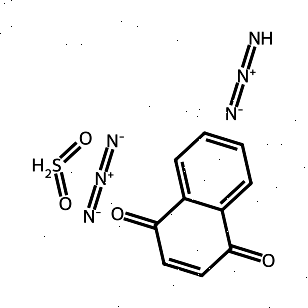 O=C1C=CC(=O)c2ccccc21.O=[SH2]=O.[N-]=[N+]=N.[N-]=[N+]=[N-]